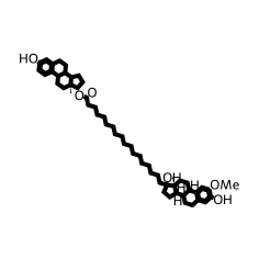 COc1cc2c(cc1O)CC[C@@H]1[C@@H]2CC[C@@]2(C)[C@H]1CC[C@]2(O)CCCCCCCCCCCCCCCCCC(=O)O[C@H]1CCC2C3CCc4cc(O)ccc4C3CC[C@@]21C